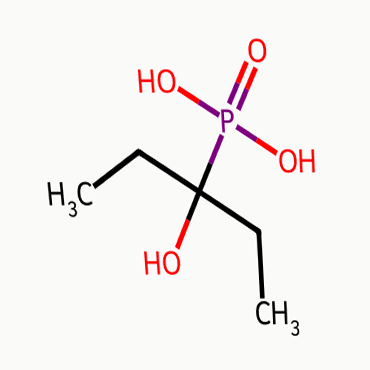 CCC(O)(CC)P(=O)(O)O